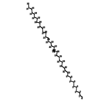 CCCCCCCCCCCCCCCCCCC[N]CCCCCCCCCCCCCCCCCCC